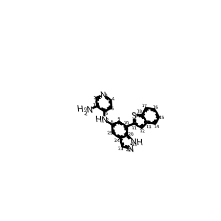 Nc1cnccc1Nc1cc(-c2cc3ccccc3s2)c2[nH]ncc2c1